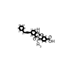 CC(c1ccc(C(=O)O)cc1)n1c(=O)[nH]c2ccc(C#CCc3ccccc3)cc2c1=O